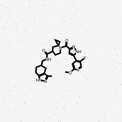 COc1cc(-c2cc(C(=O)N3CCC(C(=O)NCC4CCc5[nH]nc(C)c5C4)CC34CC4)n[nH]2)c(F)cn1